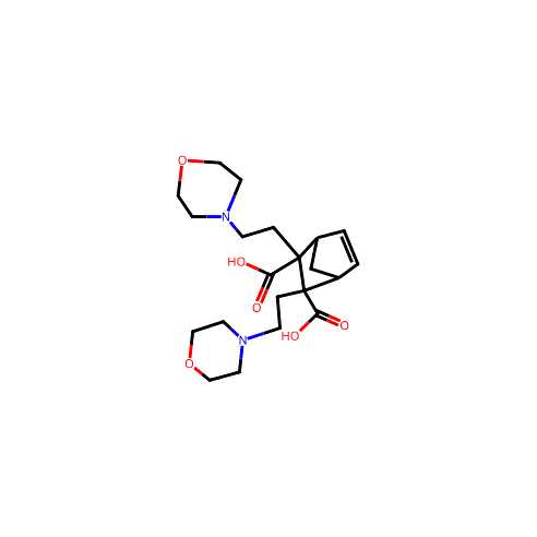 O=C(O)C1(CCN2CCOCC2)C2C=CC(C2)C1(CCN1CCOCC1)C(=O)O